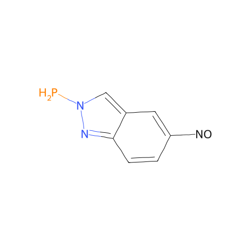 O=Nc1ccc2nn(P)cc2c1